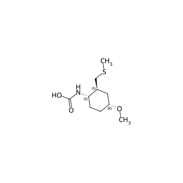 CO[C@@H]1CC[C@H](NC(=O)O)[C@@H](CSC)C1